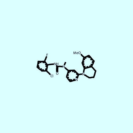 COc1ccc2c(c1)N(c1cc(N(C)C(=O)Nc3c(F)cccc3Cl)ccn1)CCC2